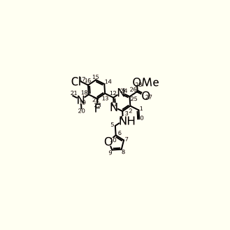 C=Cc1c(NCc2ccco2)nc(-c2ccc(Cl)c(N(C)C)c2F)nc1C(=O)OC